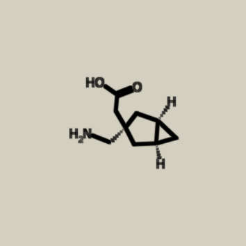 NC[C@]1(CC(=O)O)C[C@H]2C[C@H]2C1